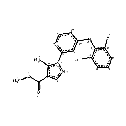 COC(=O)c1cnn(-c2cc(Nc3c(F)cccc3F)ncn2)c1N